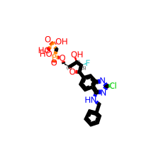 O=P(O)(O)CP(=O)(O)OC[C@H]1OC(c2ccc3c(NCc4ccccc4)nc(Cl)nc3c2)[C@@H](F)[C@@H]1O